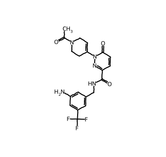 CC(=O)N1CC=C(n2nc(C(=O)NCc3cc(N)cc(C(F)(F)F)c3)ccc2=O)CC1